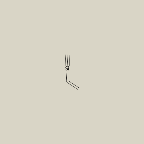 C#[Si]C=C